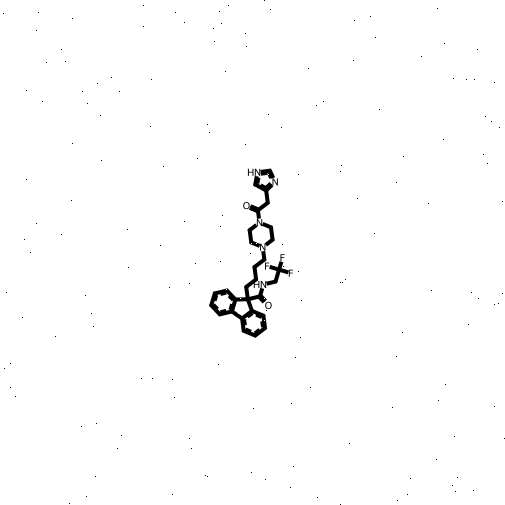 O=C(Cc1c[nH]cn1)N1CCN(CCCCC2(C(=O)NCC(F)(F)F)c3ccccc3-c3ccccc32)CC1